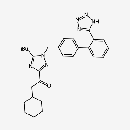 CCC(C)c1nc(C(=O)CC2CCCCC2)nn1Cc1ccc(-c2ccccc2-c2nnn[nH]2)cc1